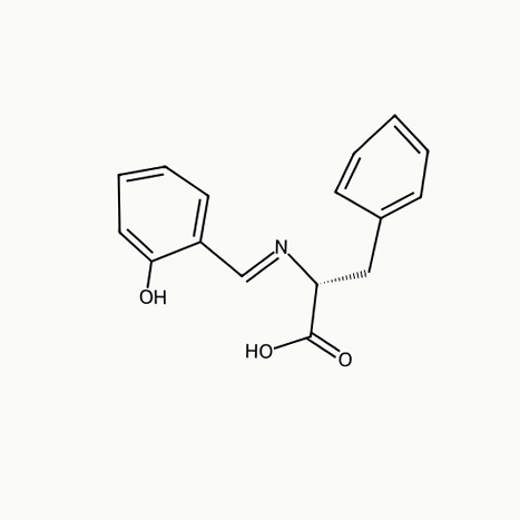 O=C(O)[C@@H](Cc1ccccc1)N=Cc1ccccc1O